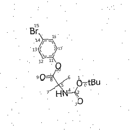 CC(C)(C)OC(=O)NC(C)(C)C(=O)Oc1ccc(Br)cc1